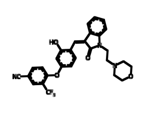 N#Cc1ccc(Oc2ccc(C=C3C(=O)N(CCN4CCOCC4)c4ccccc43)c(O)c2)c(C(F)(F)F)c1